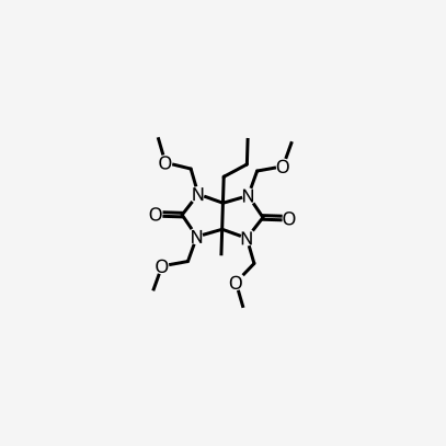 CCCC12N(COC)C(=O)N(COC)C1(C)N(COC)C(=O)N2COC